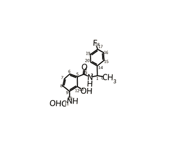 CC(NC(=O)c1cccc(NC=O)c1O)c1ccc(F)cc1